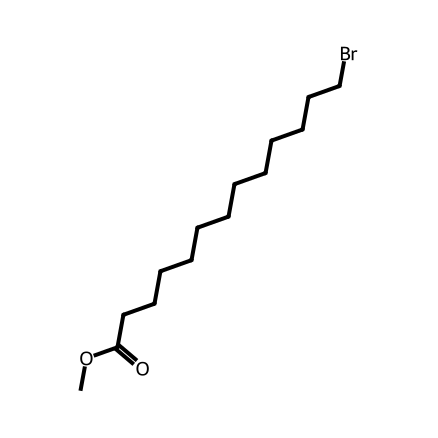 COC(=O)CCCCCCCCCCCCBr